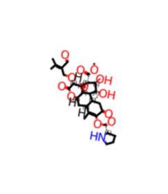 COC(=O)[C@@]12OC[C@]34C([C@@H](O)[C@@H]1O)[C@@]1(C)CC(=O)C(OC(=O)[C@@H]5CCCN5)=C(C)[C@@H]1C[C@H]3OC(=O)[C@H](OCC(C=O)=C(C)C)[C@@H]24